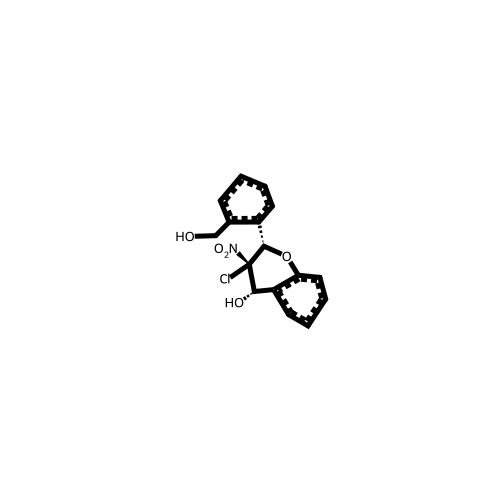 O=[N+]([O-])[C@]1(Cl)[C@@H](O)c2ccccc2O[C@H]1c1ccccc1CO